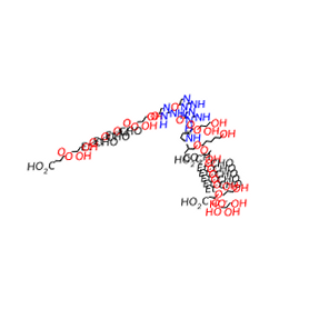 CC(=O)C(=O)OCC(O)CO.CC(COC(=O)CCCCO)CC(=O)O.CC(O)CC(=O)O.CCOC=O.CCOC=O.CCOC=O.CCOC=O.CCOC=O.CCOC=O.CCOC=O.CCOC=O.CN1CC(=O)NC1=N.CN1CC(=O)NC1=N.CN1CC(=O)NC1=N.CO.O=C(O)CC(=O)OCC(O)CO.O=C(O)CCC(=O)OCC(O)CO.O=C(OCC(O)CO)[C@@H]1CCCN1.OCC(O)CO